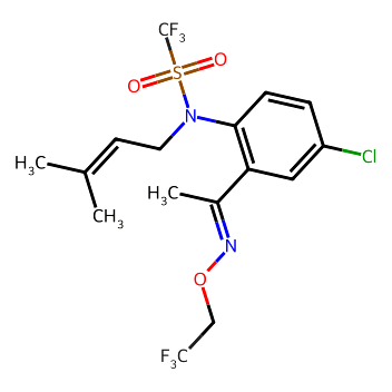 CC(C)=CCN(c1ccc(Cl)cc1/C(C)=N/OCC(F)(F)F)S(=O)(=O)C(F)(F)F